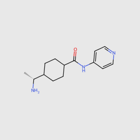 C[C@@H](N)C1CCC(C(=O)Nc2ccncc2)CC1